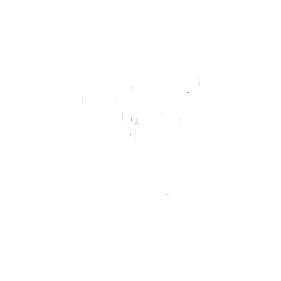 CC(C)(C)SNC(c1ccc(F)cc1)c1ccc(F)cc1